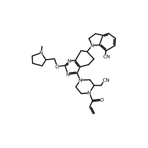 C=CC(=O)N1CCN(c2nc(OCC3CCCN3C)nc3c2CCC(N2CCc4cccc(C#N)c42)C3)CC1CC#N